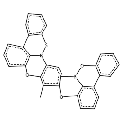 Cc1c2c(cc3c1Oc1cccc4c1B3Sc1ccccc1-4)B1Oc3ccccc3-c3cccc(c31)O2